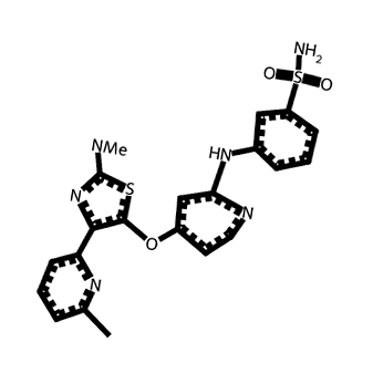 CNc1nc(-c2cccc(C)n2)c(Oc2ccnc(Nc3cccc(S(N)(=O)=O)c3)c2)s1